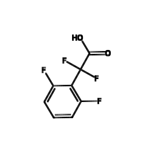 O=C(O)C(F)(F)c1c(F)cccc1F